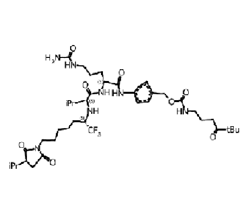 CC(C)C1CC(=O)N(CCCCC[C@H](N[C@H](C(=O)N[C@@H](CCCNC(N)=O)C(=O)Nc2ccc(COC(=O)NCCCC(=O)C(C)(C)C)cc2)C(C)C)C(F)(F)F)C1=O